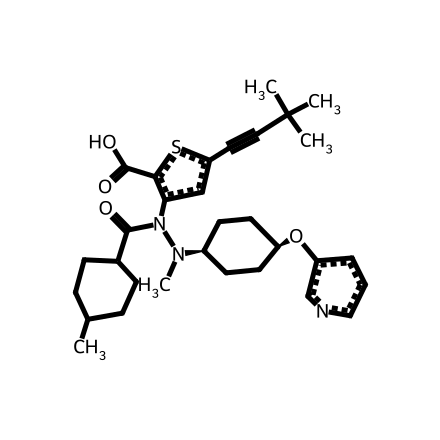 CC1CCC(C(=O)N(c2cc(C#CC(C)(C)C)sc2C(=O)O)N(C)[C@H]2CC[C@@H](Oc3cccnc3)CC2)CC1